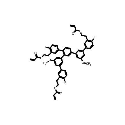 C=CC(=O)OCCc1cc(-c2cc(OC(F)(F)F)cc(-c3ccc(-c4ccc(F)c(CCOC(=O)C=C)c4)c(-c4cc(OC(F)(F)F)cc(-c5ccc(F)c(CCOC(=O)C=C)c5)c4)c3)c2)ccc1F